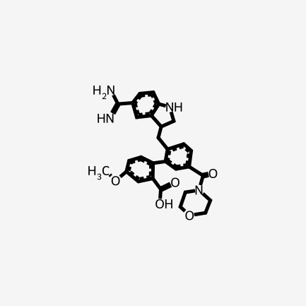 COc1ccc(-c2cc(C(=O)N3CCOCC3)ccc2CC2CNc3ccc(C(=N)N)cc32)c(C(=O)O)c1